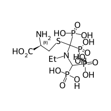 CCN(C(P(=O)(O)O)P(=O)(O)O)C(SC[C@H](N)C(=O)O)(P(=O)(O)O)P(=O)(O)O